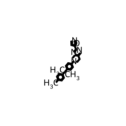 Cc1ccc(C(C)(C)c2ccc(N3CCc4cnc(-c5ccno5)nc4C3)cc2)cc1